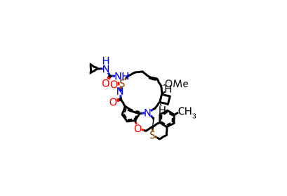 CO[C@H]1/C=C/CCC[S@@](=O)(NC(=O)NC2CC2)=NC(=O)c2ccc3c(c2)N(C[C@@H]2CC[C@H]21)C[C@]1(CO3)SCCc2cc(C)ccc21